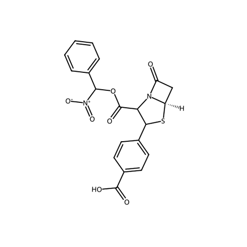 O=C(O)c1ccc(C2S[C@@H]3CC(=O)N3C2C(=O)OC(c2ccccc2)[N+](=O)[O-])cc1